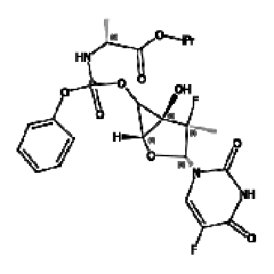 CC(C)OC(=O)[C@@H](C)NP(=O)(Oc1ccccc1)OC1[C@H]2O[C@@H](n3cc(F)c(=O)[nH]c3=O)[C@](C)(F)[C@@]12O